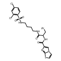 CC(C)CC(NC(=O)c1cn2ccsc2n1)C(=O)NCCCCNS(=O)(=O)c1ccc(Cl)cc1Cl